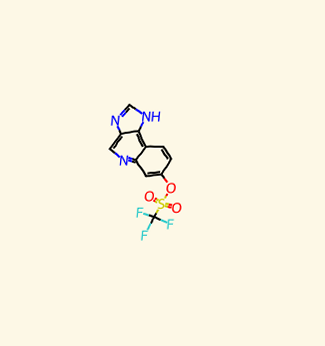 O=S(=O)(Oc1ccc2c(c1)ncc1nc[nH]c12)C(F)(F)F